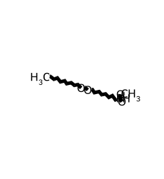 CCCCCCCCCCOCOCCCCCCCC[PH](=O)OC